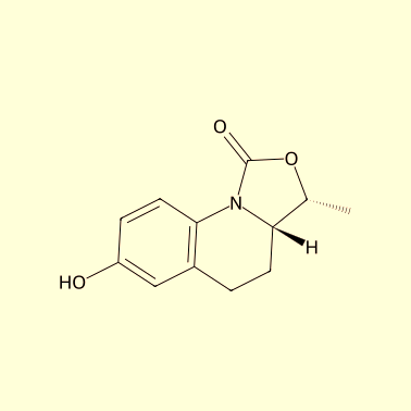 C[C@H]1OC(=O)N2c3ccc(O)cc3CC[C@@H]12